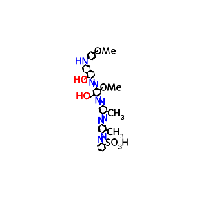 COc1ccc(Nc2ccc3c(O)c(N=Nc4cc(CO)c(N=Nc5ccc(N=Nc6ccc(N=Nc7ccccc7S(=O)(=O)O)c(C)c6)c(C)c5)cc4OC)ccc3c2)cc1